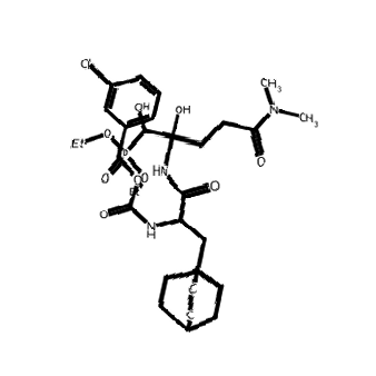 CCOP(=O)(OCC)C(O)C(O)(CCC(=O)N(C)C)NC(=O)C(CC12CCC(CC1)CC2)NC(=O)OCc1cccc(Cl)c1